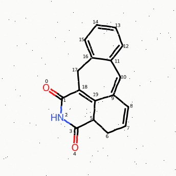 O=C1NC(=O)C2CC=CC3=Cc4ccccc4CC1=C32